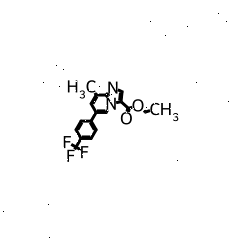 CCOC(=O)c1cnc2c(C)cc(-c3ccc(C(F)(F)F)cc3)cn12